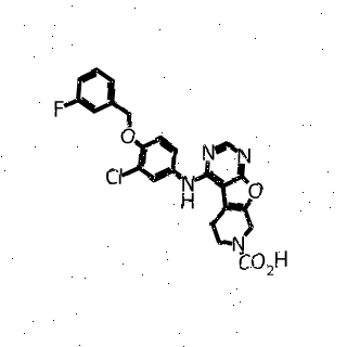 O=C(O)N1CCc2c(oc3ncnc(Nc4ccc(OCc5cccc(F)c5)c(Cl)c4)c23)C1